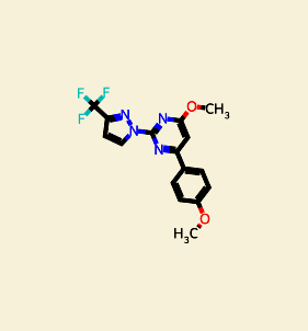 COc1ccc(-c2cc(OC)nc(-n3ccc(C(F)(F)F)n3)n2)cc1